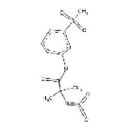 CC(C)(N=S(=O)=O)C(=O)Oc1cccc(S(C)(=O)=O)c1